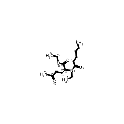 CCCCCC(=O)N(CC)[C@@H](CCC(N)=O)C(=O)OCC